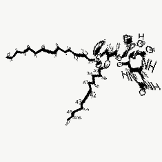 CCCCCCCCCCCCCCS(=O)(=O)CC(COP(=O)(O)n1c(=O)[nH]c2[nH]c(=O)[nH]c2c1=O)OCCCCCCCCCCC